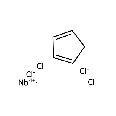 C1=CCC=C1.[Cl-].[Cl-].[Cl-].[Cl-].[Nb+4]